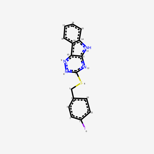 Ic1ccc(CSc2nnc3c(n2)[nH]c2ccccc23)cc1